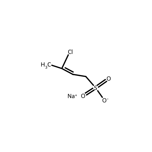 CC(Cl)=CCS(=O)(=O)[O-].[Na+]